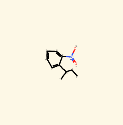 CCC(C)c1ccccc1[N+](=O)[O-]